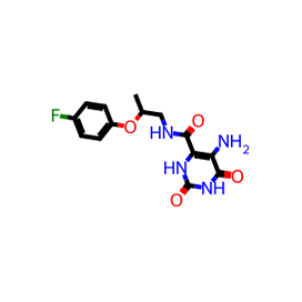 CC(CNC(=O)c1[nH]c(=O)[nH]c(=O)c1N)Oc1ccc(F)cc1